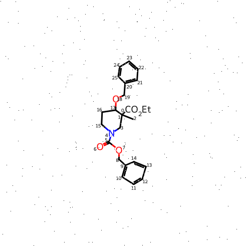 CCOC(=O)C1(C)CN(C(=O)OCc2ccccc2)CCC1OCc1ccccc1